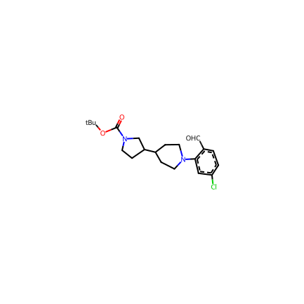 CC(C)(C)OC(=O)N1CCC(C2CCN(c3cc(Cl)ccc3C=O)CC2)C1